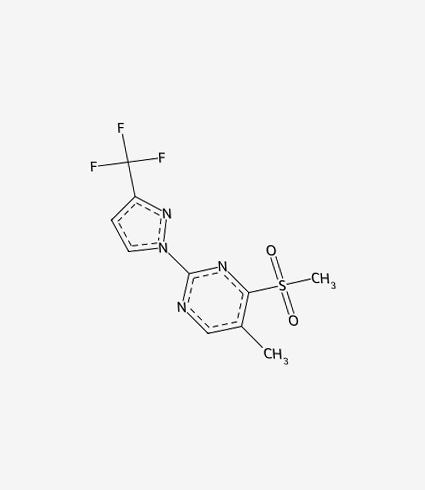 Cc1cnc(-n2ccc(C(F)(F)F)n2)nc1S(C)(=O)=O